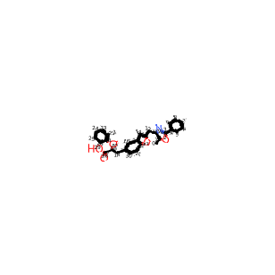 Cc1oc(-c2ccccc2)nc1Cc1cc2cc(CC(Oc3ccccc3)C(=O)O)ccc2o1